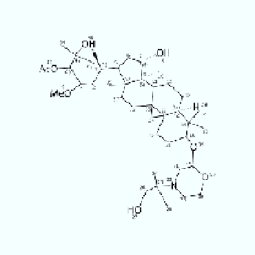 COC(C[C@@H](C)C1C[C@H](O)[C@@]2(C)C3CC[C@H]4C(C)(C)C(OC5CN(C(C)(C)CO)CCO5)CCC45CC35CCC12C)C(OC(C)=O)C(C)(C)O